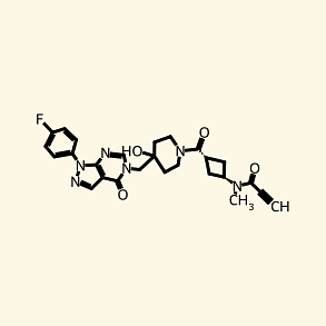 C#CC(=O)N(C)[C@H]1C[C@H](C(=O)N2CCC(O)(Cn3cnc4c(cnn4-c4ccc(F)cc4)c3=O)CC2)C1